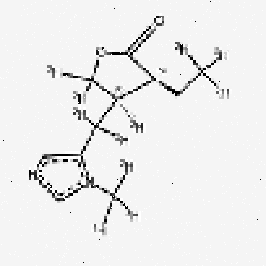 [2H]C([2H])([2H])C[C@@H]1C(=O)OC([2H])([2H])[C@]1([2H])C([2H])([2H])c1cncn1C([2H])([2H])[2H]